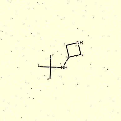 CC(C)(C)NC1CNC1